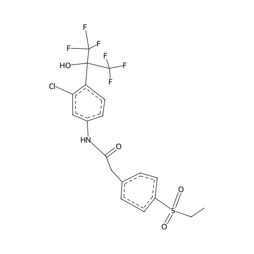 CCS(=O)(=O)c1ccc(CC(=O)Nc2ccc(C(O)(C(F)(F)F)C(F)(F)F)c(Cl)c2)cc1